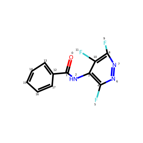 O=C(Nc1c(F)nnc(F)c1F)c1ccccc1